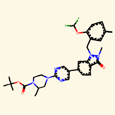 Cc1ccc(OC(F)F)c(Cn2c3cc(-c4cnc(N5CCN(C(=O)OC(C)(C)C)C(C)C5)nc4)ccc3c(=O)n2C)c1